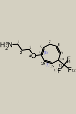 NCCCOC1=C/CC=CC(C(F)(F)F)/C=C\1